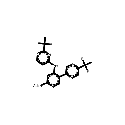 CC(=O)Nc1cc(Nc2ccnc(C(C)(F)F)n2)c(-c2cnc(C(C)(F)F)cn2)cn1